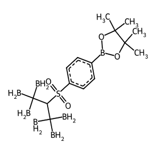 BC(B)(B)C(C(B)(B)B)S(=O)(=O)c1ccc(B2OC(C)(C)C(C)(C)O2)cc1